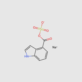 O=C(OS(=O)(=O)[O-])c1cccc2[nH]ccc12.[Na+]